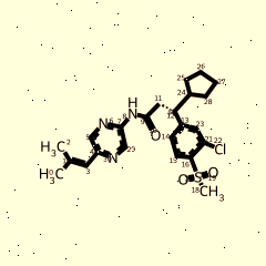 CC(C)=Cc1cnc(NC(=O)C[C@@H](c2ccc(S(C)(=O)=O)c(Cl)c2)C2CCCC2)cn1